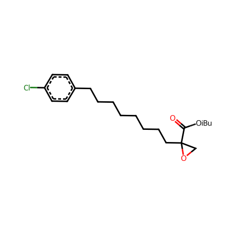 CC(C)COC(=O)C1(CCCCCCCCc2ccc(Cl)cc2)CO1